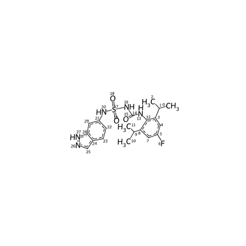 CC(C)c1cc(F)cc(C(C)C)c1NC(=O)NS(=O)(=O)Nc1ccc2cn[nH]c2c1